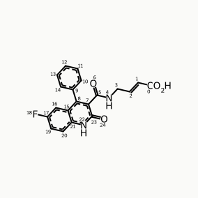 O=C(O)/C=C/CNC(=O)c1c(-c2ccccc2)c2cc(F)ccc2[nH]c1=O